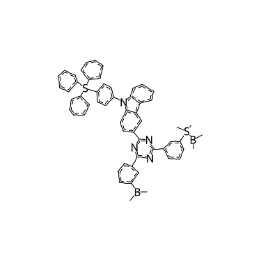 CB(C)c1cccc(-c2nc(-c3cccc(S(C)(C)B(C)C)c3)nc(-c3ccc4c(c3)c3ccccc3n4-c3ccc(S(c4ccccc4)(c4ccccc4)c4ccccc4)cc3)n2)c1